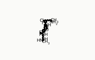 CC(=N)NCCCN[C@H](c1ccc(-n2cc3cc(-c4cc(CCC[C@H](C)N)cc(Cl)c4F)[nH]c3nc2=O)cc1)C(F)F